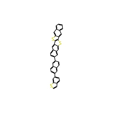 c1ccc2cc3c(cc2c1)sc1c2cc4ccc(-c5ccc6cc(-c7ccc8ccsc8c7)ccc6c5)cc4cc2sc31